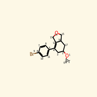 CC(C)OC1CC(c2ccc(Br)cc2)=C2COCC2C1